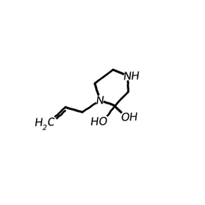 C=CCN1CCNCC1(O)O